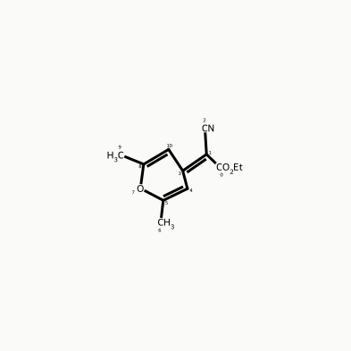 CCOC(=O)C(C#N)=C1C=C(C)OC(C)=C1